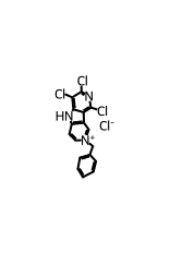 Clc1nc(Cl)c2c([nH]c3cc[n+](Cc4ccccc4)cc32)c1Cl.[Cl-]